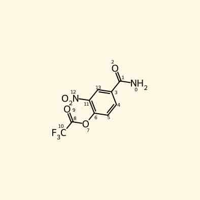 NC(=O)c1ccc(OC(=O)C(F)(F)F)c([N+](=O)[O-])c1